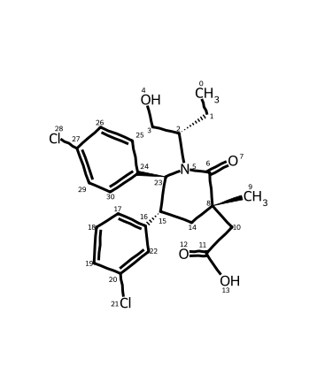 CC[C@@H](CO)N1C(=O)[C@](C)(CC(=O)O)C[C@H](c2cccc(Cl)c2)[C@H]1c1ccc(Cl)cc1